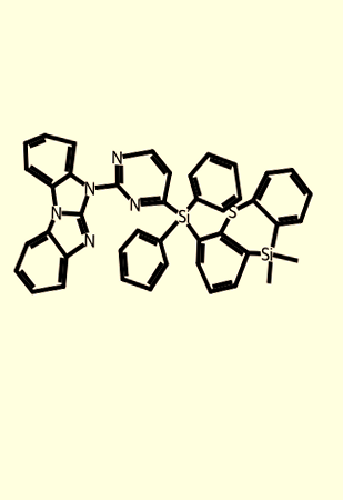 C[Si]1(C)c2ccccc2Sc2c1cccc2[Si](c1ccccc1)(c1ccccc1)c1ccnc(-n2c3ccccc3n3c4ccccc4nc23)n1